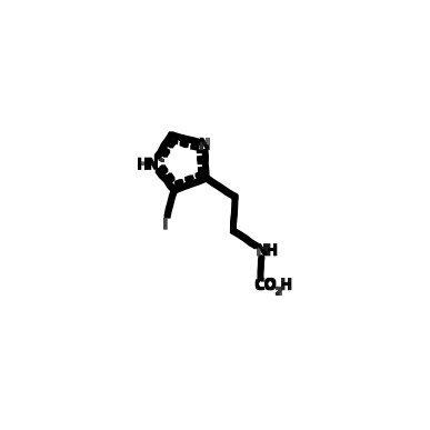 O=C(O)NCCc1nc[nH]c1I